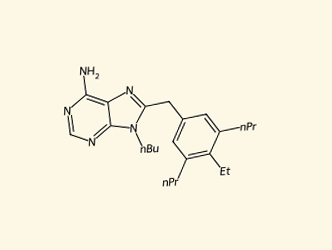 CCCCn1c(Cc2cc(CCC)c(CC)c(CCC)c2)nc2c(N)ncnc21